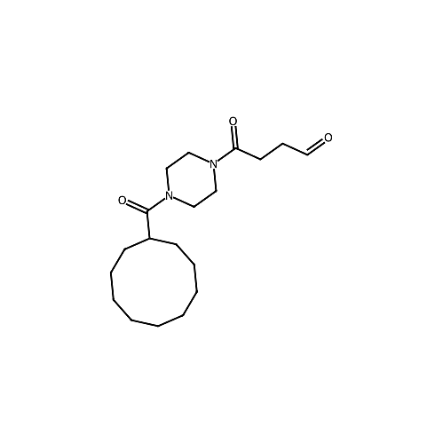 O=CCCC(=O)N1CCN(C(=O)C2CCCCCCCCC2)CC1